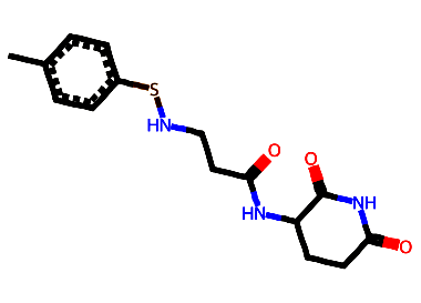 Cc1ccc(SNCCC(=O)NC2CCC(=O)NC2=O)cc1